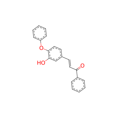 O=C(/C=C/c1ccc(Oc2ccccc2)c(O)c1)c1ccccc1